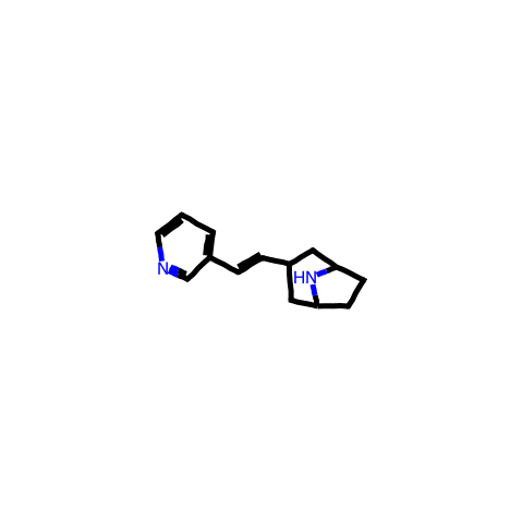 C(=C\C1CC2CCC(C1)N2)/c1cccnc1